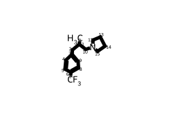 CC(Cc1ccc(C(F)(F)F)cc1)CN1CCCC1